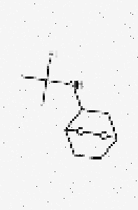 CCC(C)(C)NC1CC2CCC1CC2